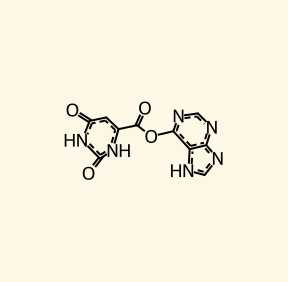 O=C(Oc1ncnc2nc[nH]c12)c1cc(=O)[nH]c(=O)[nH]1